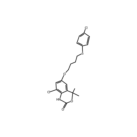 CC1(C)OC(=O)Nc2c(Cl)cc(OCCCCSc3ccc(Cl)cc3)cc21